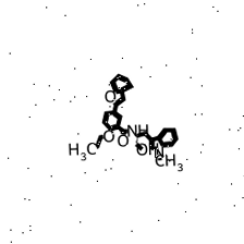 CCCOc1ccc(-c2cc3ccccc3o2)cc1C(=O)N[C@@H](CO)Cc1cn(C)c2ccccc12